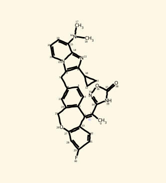 C/C(=C1/c2ccc(Cc3c(C4CC4)nc4c(N(C)C)cccn34)cc2COc2cc(F)ccc21)c1noc(=O)[nH]1